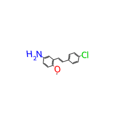 COc1ccc(N)cc1C=Cc1ccc(Cl)cc1